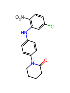 O=C1CCCCN1c1ccc(Nc2cc(Cl)ccc2[N+](=O)[O-])cc1